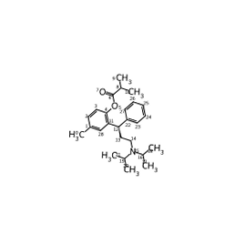 Cc1ccc(OC(=O)C(C)C)c([C@H](CCN(C(C)C)C(C)C)c2ccccc2)c1